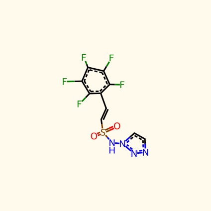 O=S(=O)(/C=C/c1c(F)c(F)c(F)c(F)c1F)Nn1ccnn1